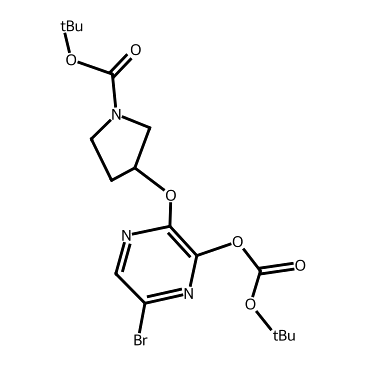 CC(C)(C)OC(=O)Oc1nc(Br)cnc1OC1CCN(C(=O)OC(C)(C)C)C1